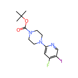 CC(C)(C)OC(=O)N1CCN(c2cc(F)c(I)cn2)CC1